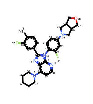 N#Cc1ccc(-c2nc3c(N4CCCCC4)ccnc3n2-c2ccc(N3CC4COCC4C3)cc2F)cc1F